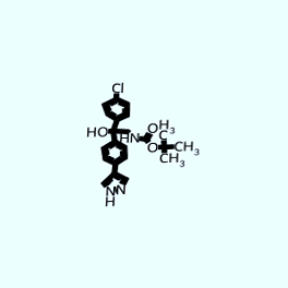 CC(C)(C)OC(=O)NCC(O)(c1ccc(Cl)cc1)c1ccc(-c2cn[nH]c2)cc1